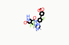 C[C@@H]1CN(c2cc(F)c(-c3ccc4c(c3)OCO4)cc2NC(=O)c2c[nH]c(=O)cc2C(F)(F)F)C[C@H](C)N1C